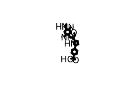 CNc1cc(NC)c(NC)c2c1C=C(c1ccc(-c3ccc(C(=O)O)cc3)[nH]1)CO2